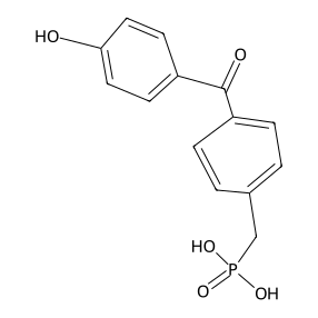 O=C(c1ccc(O)cc1)c1ccc(CP(=O)(O)O)cc1